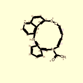 O=C(O)N1/C=C\C=C/COc2ccc3nccc(c3c2)/N=c2/cccc/c2=C/1